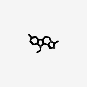 CCn1c2c(c3cc(C)ccc31)CCn1c-2cnc1C